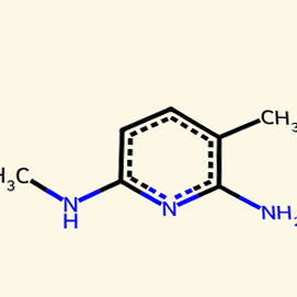 CNc1ccc(C)c(N)n1